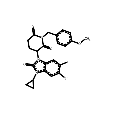 COc1ccc(CN2C(=O)CCC(n3c(=O)n(C4CC4)c4cc(Br)c(F)cc43)C2=O)cc1